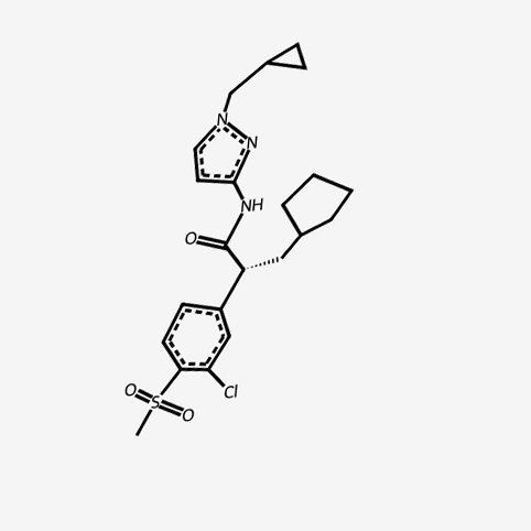 CS(=O)(=O)c1ccc([C@@H](CC2CCCC2)C(=O)Nc2ccn(CC3CC3)n2)cc1Cl